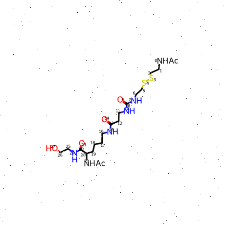 CC(=O)NCCSSCCNC(=O)NCCC(=O)NCCCCC(NC(C)=O)C(=O)NCCO